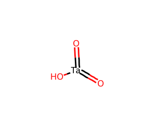 [O]=[Ta](=[O])[OH]